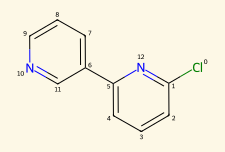 Clc1cccc(-c2cccnc2)n1